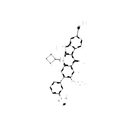 C#Cc1ccc2c(c1)[nH]c1c2c(=O)c2cc(OC)c(-c3cccc(S(=O)(=O)F)c3)cc2n1C1CCC1